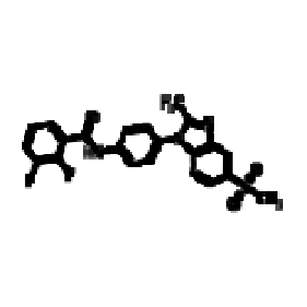 CS(=O)(=O)c1ccc2c(c1)nc(C(F)(F)F)n2-c1ccc(NC(=O)c2cccc(F)c2F)cc1